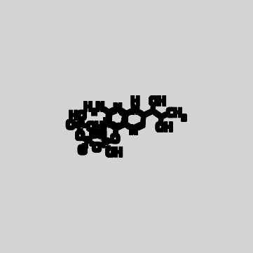 CC(O)C(O)C1C=Nc2c(nc(N)nc2OP(=O)(O)OP(=O)(O)OP(=O)(O)O)N1